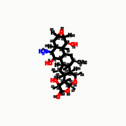 CC(=O)O[C@H]1CC2C([C@@H](O)[C@@H](N)[C@H]3C[C@@H]4O[C@@H]4[C@H](O)[C@]23C)[C@@H]2[C@@H](C)[C@@H]3[C@H]([C@H](C)O[C@@]4(C)OC(=O)[C@@](C)(O)[C@]34C)[C@@]12C